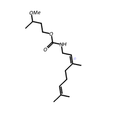 COC(C)CCOC(=O)NC/C=C(/C)CCC=C(C)C